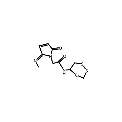 C/N=C1/C=CC(=O)N1CC(=O)NC1CCSSC1